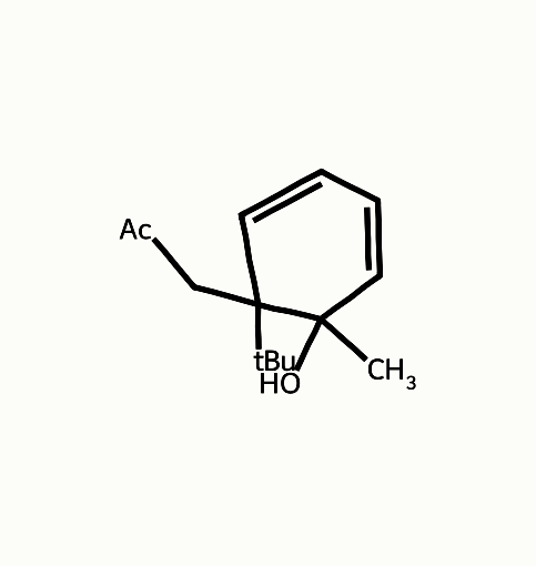 CC(=O)CC1(C(C)(C)C)C=CC=CC1(C)O